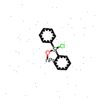 CCCO[Si](Cl)(c1ccccc1)c1ccccc1